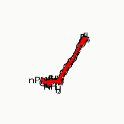 CCCN(CCC)C(=O)C1=Cc2sc(CCCCCN/C(=N/C)NCCOCCOCCOCCOCCOCCOCCOCCOCCOCCOCCC(=O)Oc3c(F)c(F)cc(F)c3F)cc2N=C(N)C1